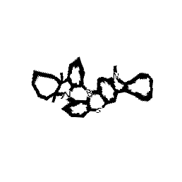 Cn1c2ccccc2c2cc3c(cc21)B1c2cccc4c2N(c2cccc(c21)S3)C1(C)CCCCCC41C